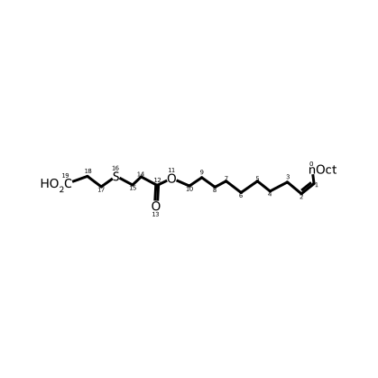 CCCCCCCC/C=C\CCCCCCCCOC(=O)CCSCCC(=O)O